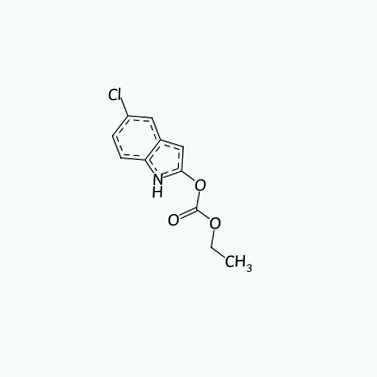 CCOC(=O)Oc1cc2cc(Cl)ccc2[nH]1